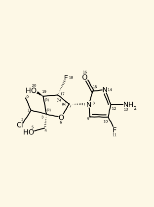 CC(Cl)[C@]1(CO)O[C@@H](n2cc(F)c(N)nc2=O)[C@@H](F)[C@@H]1O